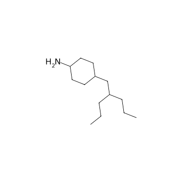 CCCC(CCC)CC1CCC(N)CC1